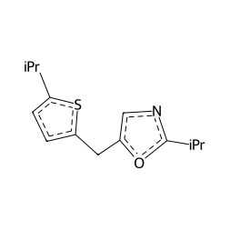 CC(C)c1ncc(Cc2ccc(C(C)C)s2)o1